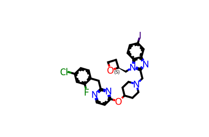 Fc1cc(Cl)ccc1Cc1nccc(OC2CCN(Cc3nc4cc(I)ccc4n3C[C@@H]3CCO3)CC2)n1